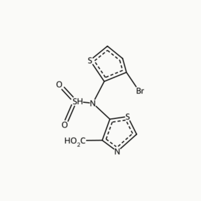 O=C(O)c1ncsc1N(c1sccc1Br)[SH](=O)=O